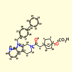 O=C(O)OC12CCC(CC(=O)N3CCc4c(n(Cc5ccc(-c6ccccc6)cc5)c5ncccc45)C3)(CC1)C2